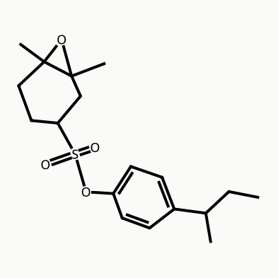 CCC(C)c1ccc(OS(=O)(=O)C2CCC3(C)OC3(C)C2)cc1